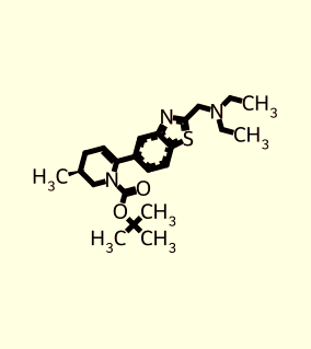 CCN(CC)Cc1nc2cc(C3=CC[C@H](C)CN3C(=O)OC(C)(C)C)ccc2s1